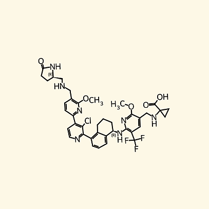 COc1nc(-c2ccnc(-c3cccc4c3CCC[C@H]4Nc3nc(OC)c(CNC4(C(=O)O)CC4)cc3C(F)(F)F)c2Cl)ccc1CNC[C@H]1CCC(=O)N1